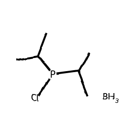 B.CC(C)P(Cl)C(C)C